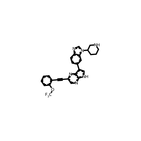 FC(F)(F)Oc1ccccc1C#Cc1cnc2[nH]cc(-c3ccc4ncn(C5CCCNC5)c4c3)c2n1